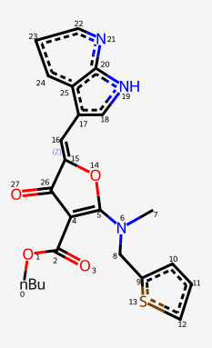 CCCCOC(=O)C1=C(N(C)Cc2cccs2)O/C(=C\c2c[nH]c3ncccc23)C1=O